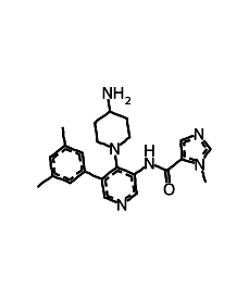 Cc1cc(C)cc(-c2cncc(NC(=O)c3cncn3C)c2N2CCC(N)CC2)c1